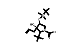 C=CC[C@@]1(O)C(C(C)(C)C)N(C(=O)O)C[C@@H]1O[Si](C)(C)C(C)(C)C